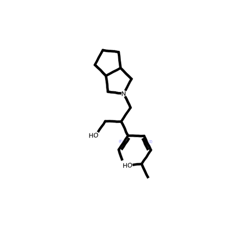 C/C=C(\C=C/C(C)O)C(CO)CN1CC2CCCC2C1